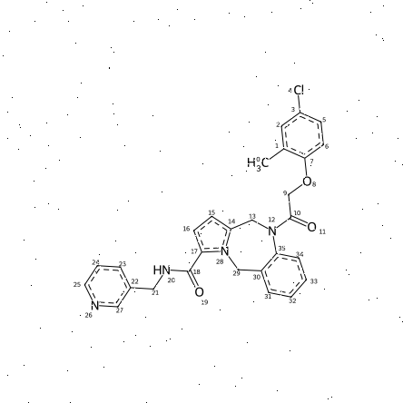 Cc1cc(Cl)ccc1OCC(=O)N1Cc2ccc(C(=O)NCc3cccnc3)n2Cc2ccccc21